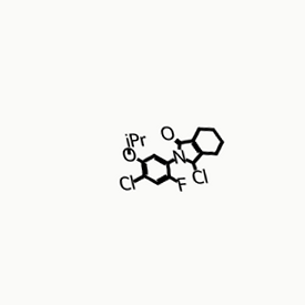 CC(C)Oc1cc(N2C(=O)C3=C(CCCC3)C2Cl)c(F)cc1Cl